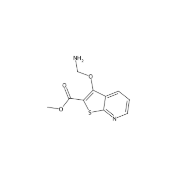 COC(=O)c1sc2ncccc2c1OCN